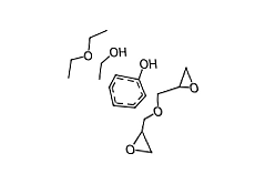 C(OCC1CO1)C1CO1.CCO.CCOCC.Oc1ccccc1